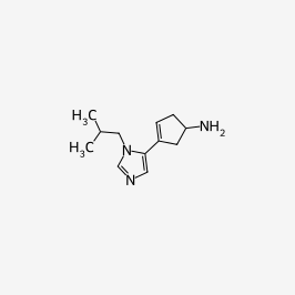 CC(C)Cn1cncc1C1=CCC(N)C1